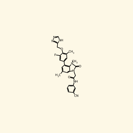 Cc1cc(-c2cc(C)c(OCc3nnc[nH]3)c(F)c2)c2c(c1)n(CC(=O)Nc1cccc(C#N)c1)c(=O)n2C